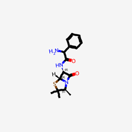 C[C@@H]1N2C(=O)[C@@H](NC(=O)C(N)c3ccccc3)[C@H]2SC1(C)C